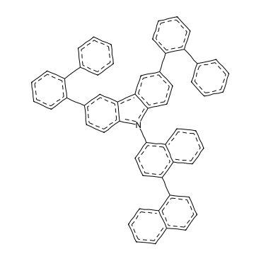 c1ccc(-c2ccccc2-c2ccc3c(c2)c2cc(-c4ccccc4-c4ccccc4)ccc2n3-c2ccc(-c3cccc4ccccc34)c3ccccc23)cc1